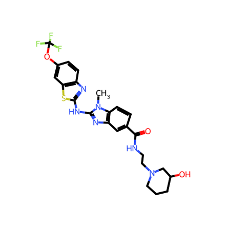 Cn1c(Nc2nc3ccc(OC(F)(F)F)cc3s2)nc2cc(C(=O)NCCN3CCCC(O)C3)ccc21